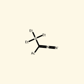 CC[Si](CC)(CC)C(=[N+]=[N-])C(C)=O